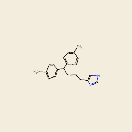 Cc1ccc(C(CCCc2c[nH]cn2)c2ccc(C)cc2)cc1